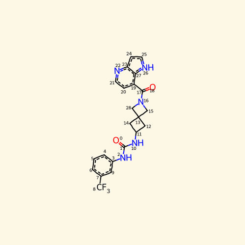 O=C(Nc1cccc(C(F)(F)F)c1)NC1CC2(C1)CN(C(=O)c1ccnc3cc[nH]c13)C2